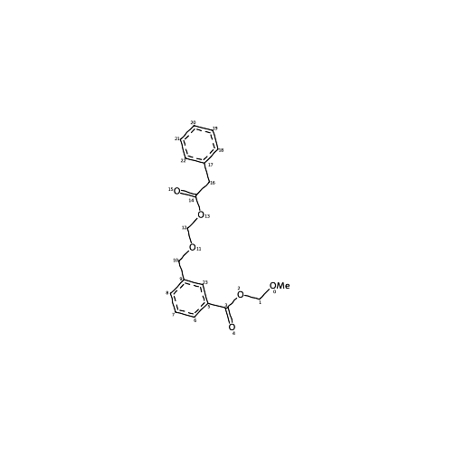 COCOC(=O)c1cccc(COCOC(=O)Cc2ccccc2)c1